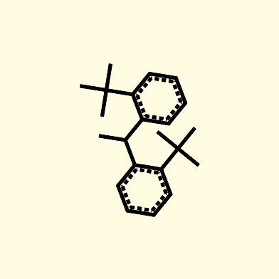 CC(c1ccccc1C(C)(C)C)c1ccccc1C(C)(C)C